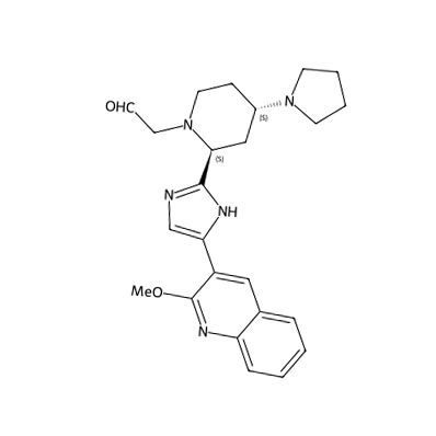 COc1nc2ccccc2cc1-c1cnc([C@@H]2C[C@@H](N3CCCC3)CCN2CC=O)[nH]1